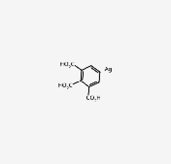 O=C(O)c1cccc(C(=O)O)c1C(=O)O.[Ag]